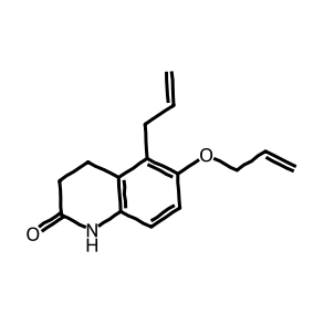 C=CCOc1ccc2c(c1CC=C)CCC(=O)N2